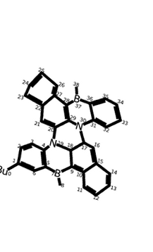 CCCCc1ccc2c(c1)B(C)C1=c3ccccc3=CC3C1N2c1cc2ccccc2c2c1N3c1ccccc1B2C